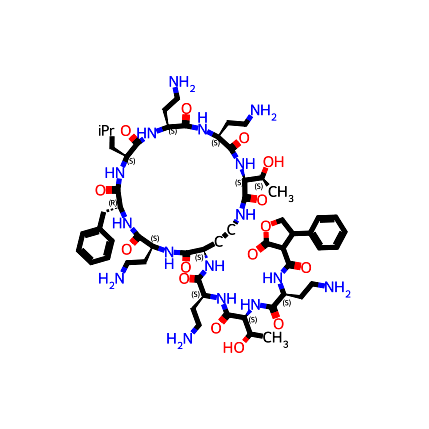 CC(C)C[C@@H]1NC(=O)[C@@H](Cc2ccccc2)NC(=O)[C@H](CCN)NC(=O)[C@@H](NC(=O)[C@H](CCN)NC(=O)[C@@H](NC(=O)[C@H](CCN)NC(=O)C2C(=O)OCC2c2ccccc2)C(C)O)CCNC(=O)[C@H]([C@H](C)O)NC(=O)[C@H](CCN)NC(=O)[C@H](CCN)NC1=O